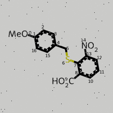 COc1ccc(CSc2c(C(=O)O)cccc2[N+](=O)[O-])cc1